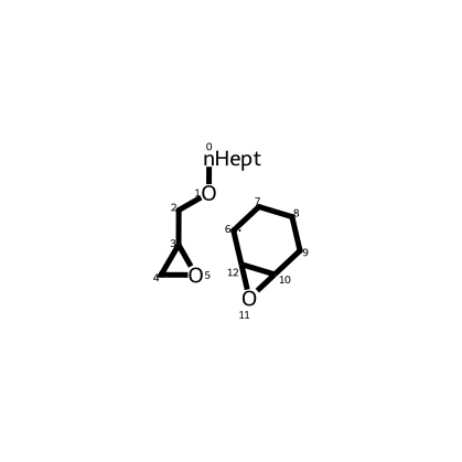 [CH2]CCCCCCOCC1CO1.[CH]1CCCC2OC12